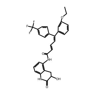 CCOc1cccc(/C(=C/C=C/C(=O)Nc2cccc3c2CC(O)C(=O)N3)c2ccc(C(F)(F)F)cc2)c1